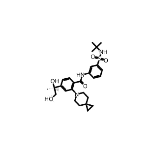 CC(C)(C)NS(=O)(=O)c1cccc(NC(=O)c2ccc([C@](C)(O)CO)cc2N2CCC3(CC2)CC3)c1